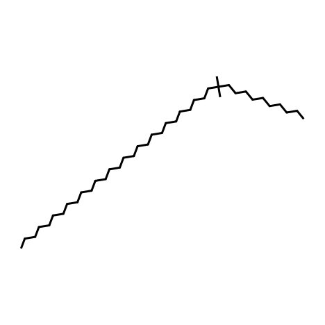 CCCCCCCCCCCCCCCCCCCCCCCCCCCCC(C)(C)CCCCCCCCCC